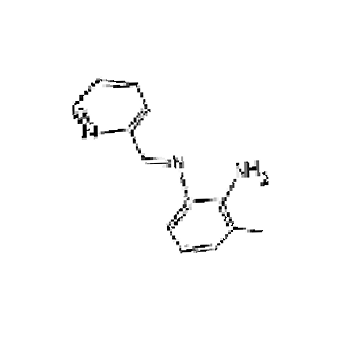 Cc1cccc(/N=C/c2ccccn2)c1N